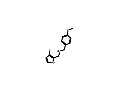 COc1ccc(CNCc2[nH]ccc2Br)cc1